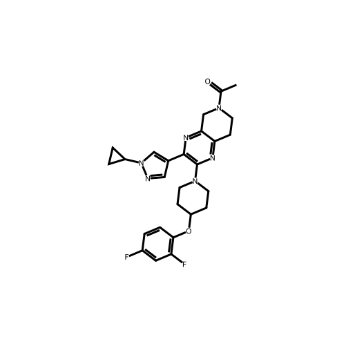 CC(=O)N1CCc2nc(N3CCC(Oc4ccc(F)cc4F)CC3)c(-c3cnn(C4CC4)c3)nc2C1